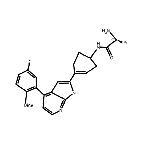 COc1ccc(F)cc1-c1ccnc2[nH]c(C3=CCC(NC(=O)[C@@H](N)C(C)C)CC3)cc12